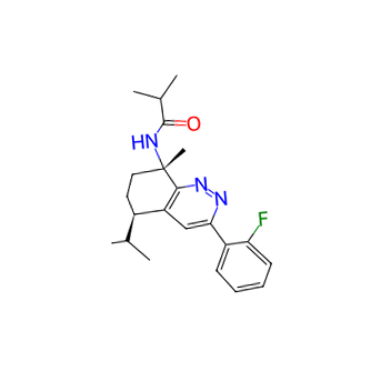 CC(C)C(=O)N[C@@]1(C)CC[C@H](C(C)C)c2cc(-c3ccccc3F)nnc21